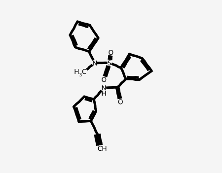 C#Cc1cccc(NC(=O)c2ccccc2S(=O)(=O)N(C)c2ccccc2)c1